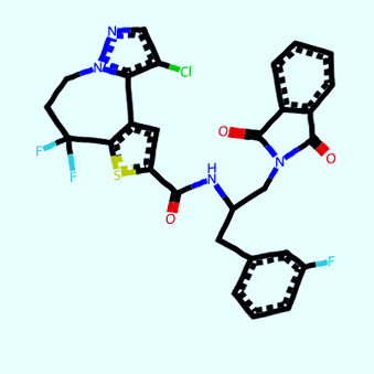 O=C(NC(Cc1cccc(F)c1)CN1C(=O)c2ccccc2C1=O)c1cc2c(s1)C(F)(F)CCn1ncc(Cl)c1-2